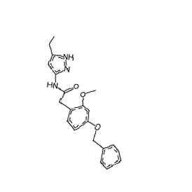 CCc1cc(NC(=O)Cc2ccc(OCc3ccccc3)cc2OC)n[nH]1